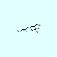 CC(=O)CC(=CCC/C(C)=C/CO)C(C(C)=O)(C(C)=O)C(C)=O